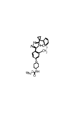 Cc1cc(N2CCC(NC(=O)OC(C)(C)C)CC2)ccc1-c1nnc(C2(c3ccccc3)CC2)n1C